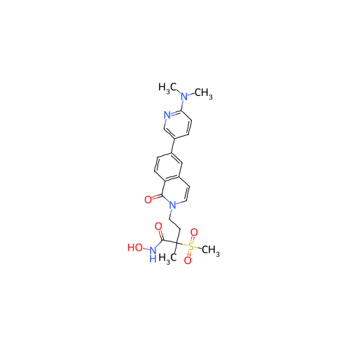 CN(C)c1ccc(-c2ccc3c(=O)n(CCC(C)(C(=O)NO)S(C)(=O)=O)ccc3c2)cn1